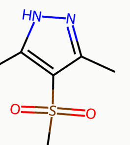 Cc1n[nH]c(C)c1S(C)(=O)=O